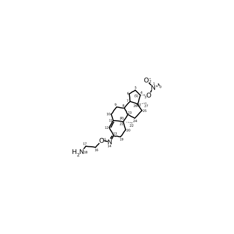 C=[N+]([O-])O[C@H]1CCC2C3CCC4=CC(=NOCCN)CC[C@]4(C)C3CC[C@@]21C